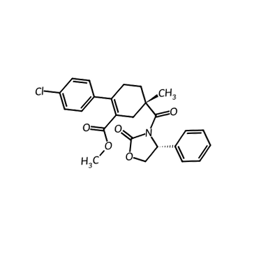 COC(=O)C1=C(c2ccc(Cl)cc2)CC[C@](C)(C(=O)N2C(=O)OC[C@H]2c2ccccc2)C1